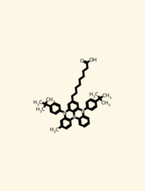 Cc1ccc2c(c1)N(c1ccc(C(C)(C)C)cc1)c1cc(CCCCCCCCC(=O)O)cc3c1B2c1ccccc1N3c1ccc(C(C)(C)C)cc1